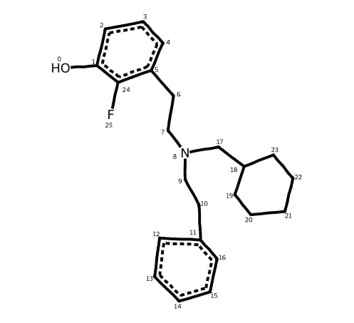 Oc1cccc(CCN(CCc2ccccc2)CC2CCCCC2)c1F